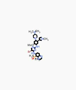 COc1cc(N2CCC(N(C)C)CC2)c(-c2ccn(C)c2)cc1Nc1ncc(Br)c(Nc2ccc3nccnc3c2P(C)(C)=O)n1